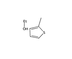 CCO.Cc1cccs1